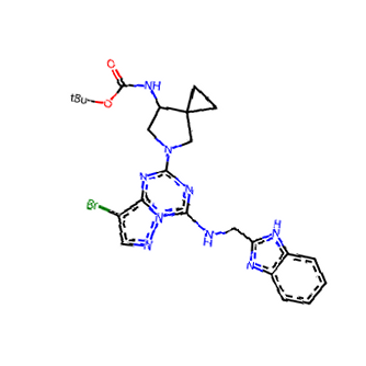 CC(C)(C)OC(=O)NC1CN(c2nc(NCc3nc4ccccc4[nH]3)n3ncc(Br)c3n2)CC12CC2